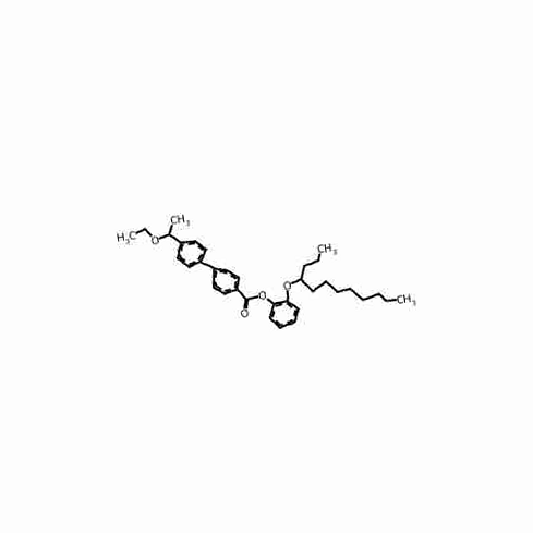 CCCCCCCCC(CCC)Oc1ccccc1OC(=O)c1ccc(-c2ccc(C(C)OCC)cc2)cc1